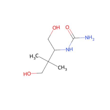 CC(C)(CO)C(CO)NC(N)=O